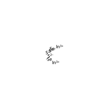 [In+3].[In+3].[S-2].[S-2].[S-2].[Se].[Se]